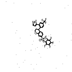 Cn1nccc1-c1cc(C(F)(F)F)ccc1C1CCOc2cc(S(=O)(=O)Oc3c(F)c(F)c(F)c(F)c3F)ccc21